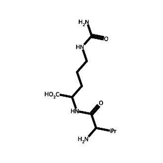 CC(C)C(N)C(=O)NC(CCCNC(N)=O)C(=O)O